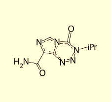 CC(C)n1nnc2c(C(N)=O)ncn2c1=O